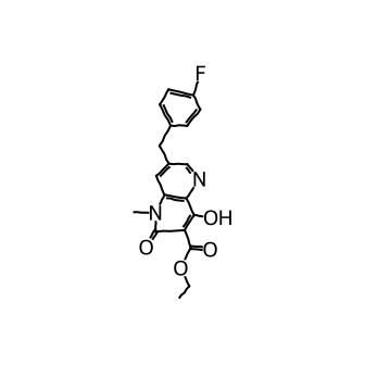 CCOC(=O)c1c(O)c2ncc(Cc3ccc(F)cc3)cc2n(C)c1=O